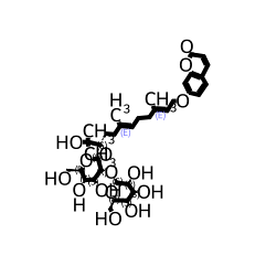 C/C(=C\COc1ccc2ccc(=O)oc2c1)CC/C=C(\C)CC[C@H](O[C@@H]1O[C@H](CO)[C@@H](O)[C@H](O)[C@H]1O[C@@H]1O[C@H](CO)[C@@H](O)[C@H](O)[C@H]1O)C(C)(C)O